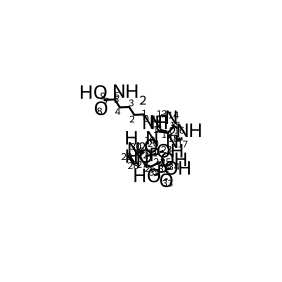 NCCCCC(N)C(=O)O.Nc1ncnc2[nH]cnc12.O=P(O)(O)C(O)(Cn1ccnc1)P(=O)(O)O